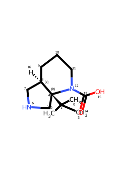 CC(C)(C)[C@@]12CNC[C@H]1CCCN2C(=O)O